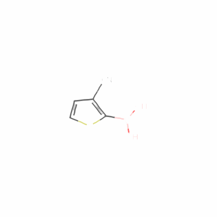 N#Cc1ccsc1B(O)O